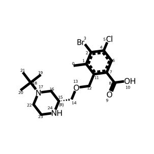 Cc1c(Br)c(Cl)cc(C(=O)O)c1COC[C@H]1CN(C(C)(C)C)CCN1